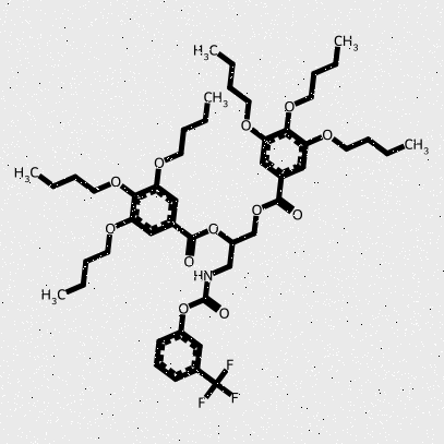 CCCCOc1cc(C(=O)OCC(CNC(=O)Oc2cccc(C(F)(F)F)c2)OC(=O)c2cc(OCCCC)c(OCCCC)c(OCCCC)c2)cc(OCCCC)c1OCCCC